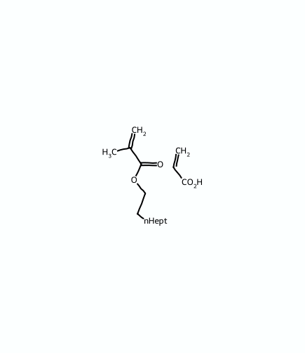 C=C(C)C(=O)OCCCCCCCCC.C=CC(=O)O